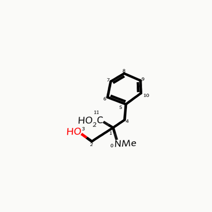 CNC(CO)(Cc1ccccc1)C(=O)O